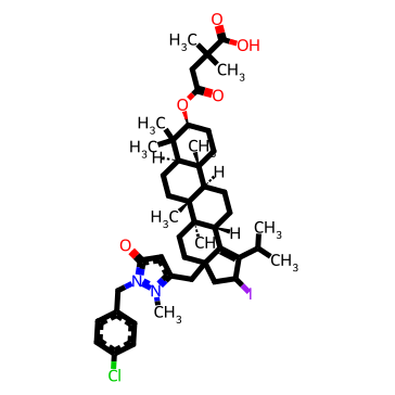 CC(C)C1=C2[C@H]3CC[C@@H]4[C@@]5(C)CC[C@H](OC(=O)CC(C)(C)C(=O)O)C(C)(C)[C@@H]5CC[C@@]4(C)[C@]3(C)CCC2(Cc2cc(=O)n(Cc3ccc(Cl)cc3)n2C)CC1I